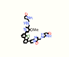 COc1cc(-c2cccc(-c3cccc(-c4ccn5c(=O)c(CNCC6CCC(=O)N6)cnc5c4)c3C)c2Cl)ncc1CNCC1CCC(=O)N1